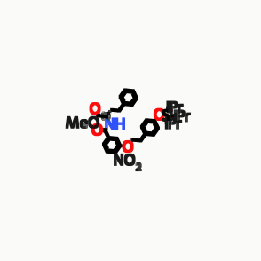 COC(=O)[C@H](CCc1ccccc1)NC(=O)c1ccc([N+](=O)[O-])c(OCCc2ccc(O[Si](C(C)C)(C(C)C)C(C)C)cc2)c1